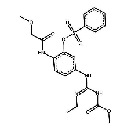 CCN=C(NC(=O)OC)Nc1ccc(NC(=O)COC)c(OS(=O)(=O)c2ccccc2)c1